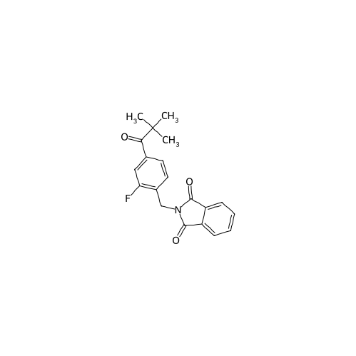 CC(C)(C)C(=O)c1ccc(CN2C(=O)c3ccccc3C2=O)c(F)c1